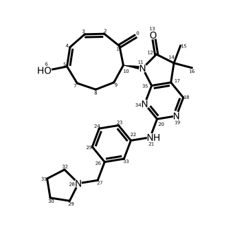 C=C1/C=C\C=C(\O)CCC[C@@H]1N1C(=O)C(C)(C)c2cnc(Nc3cccc(CN4CCCC4)c3)nc21